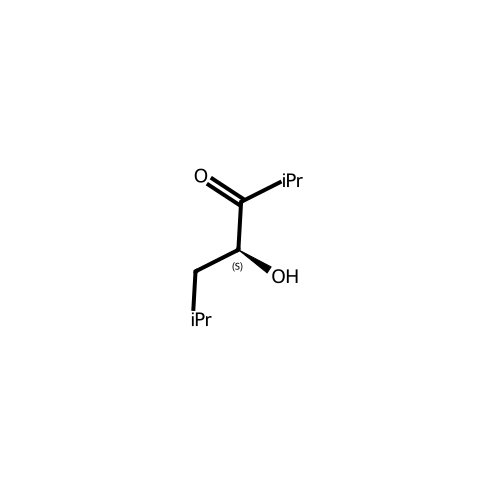 CC(C)C[C@H](O)C(=O)C(C)C